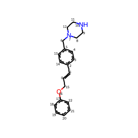 C(=C\c1ccc(CN2CCNCC2)cc1)/COc1ccccc1